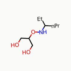 CCCC(CC)NOC(CO)CO